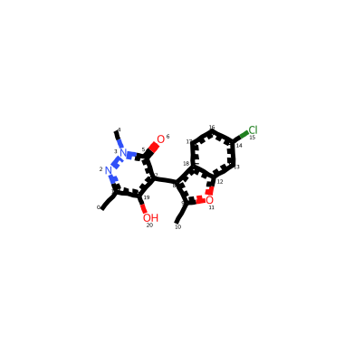 Cc1nn(C)c(=O)c(-c2c(C)oc3cc(Cl)ccc23)c1O